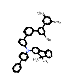 CC(C)(C)c1cc(-c2cccc(-c3cccc(N(c4ccc(-c5ccccc5)cc4)c4ccc5c(c4)C(C)(C)c4ccccc4-5)c3)c2)cc(-c2cc(C(C)(C)C)cc(C(C)(C)C)c2)c1